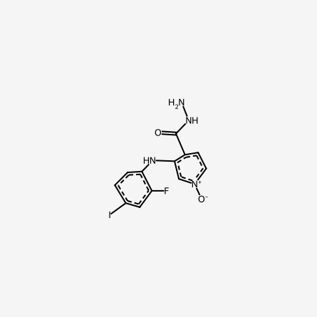 NNC(=O)c1cc[n+]([O-])cc1Nc1ccc(I)cc1F